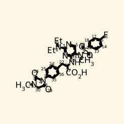 CCN(CC)c1ncc(N(C)S(=O)(=O)c2ccc(F)cc2)c(NC(Cc2ccc(N3C(=O)CN(C)C3=O)cc2)C(=O)O)n1